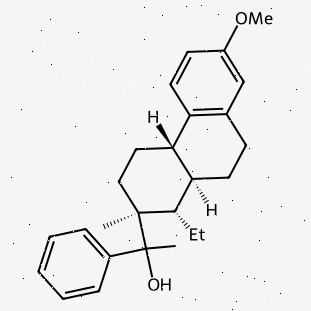 CC[C@H]1[C@@H]2CCc3cc(OC)ccc3[C@H]2CC[C@]1(C)C(C)(O)c1ccccc1